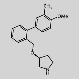 COc1ccc(-c2ccccc2CO[C@H]2CCNC2)cc1C